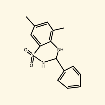 Cc1cc(C)c2c(c1)S(=O)(=O)NC(c1ccccc1)N2